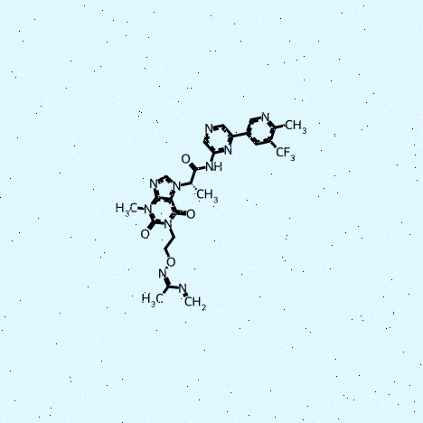 C=N/C(C)=N\OCCn1c(=O)c2c(ncn2[C@@H](C)C(=O)Nc2cncc(-c3cnc(C)c(C(F)(F)F)c3)n2)n(C)c1=O